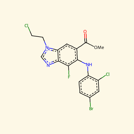 COC(=O)c1cc2c(ncn2CCCl)c(F)c1Nc1ccc(Br)cc1Cl